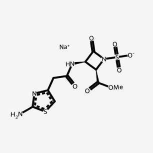 COC(=O)[C@H]1[C@@H](NC(=O)Cc2csc(N)n2)C(=O)N1S(=O)(=O)[O-].[Na+]